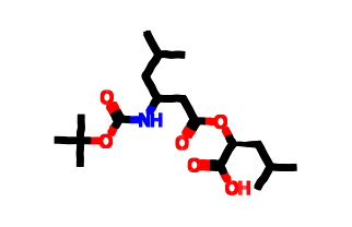 CC(C)CC(CC(=O)O[C@@H](CC(C)C)C(=O)O)NC(=O)OC(C)(C)C